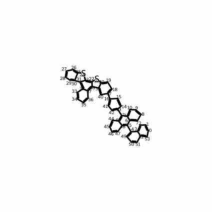 c1ccc2c(-c3c4ccccc4c(-c4ccc(-c5ccc6sc7c8sc9ccccc9c8c8ccccc8c7c6c5)cc4)c4ccccc34)cccc2c1